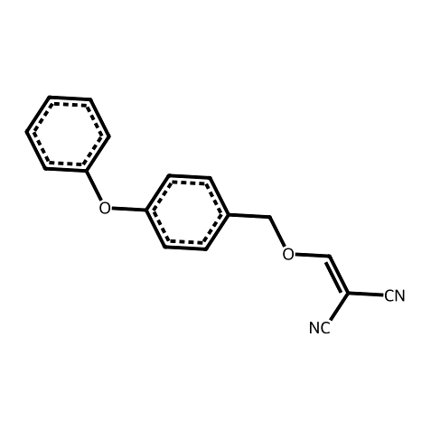 N#CC(C#N)=COCc1ccc(Oc2ccccc2)cc1